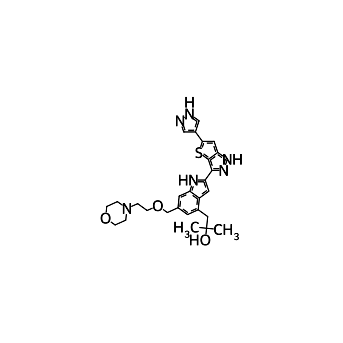 CC(C)(O)Cc1cc(COCCN2CCOCC2)cc2[nH]c(-c3n[nH]c4cc(-c5cn[nH]c5)sc34)cc12